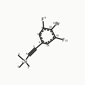 C[Si](C)(C)C#Cc1cc(F)c(Br)c(F)c1